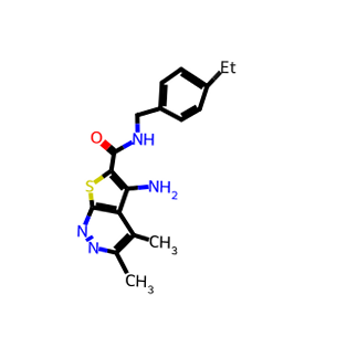 CCc1ccc(CNC(=O)c2sc3nnc(C)c(C)c3c2N)cc1